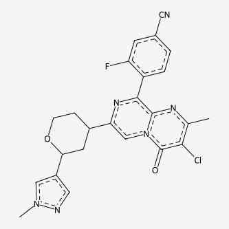 Cc1nc2c(-c3ccc(C#N)cc3F)nc(C3CCOC(c4cnn(C)c4)C3)cn2c(=O)c1Cl